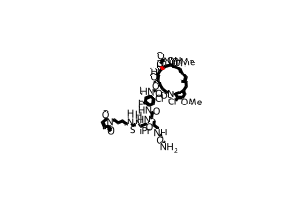 COc1cc2cc(c1Cl)N(C)C(=O)C[C@H](OC(=O)Nc1cc(F)c(NC(=O)[C@H](CCCNCOCN)NC(=O)[C@@H](NC(=S)NCCCCN3C(=O)C=CC3=O)C(C)C)cc1Cl)[C@]1(C)O[C@H]1[C@H](C)[C@@H]1C[C@@](O)(NC(=O)O1)[C@H](OC)/C=C/C=C(\C)C2